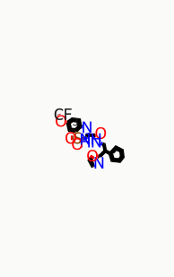 O=C(NCC(c1ccccc1)c1ncco1)C1=Nc2ccc(OC(F)(F)F)cc2S(=O)(=O)N1